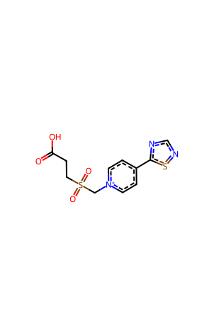 O=C(O)CCS(=O)(=O)C[n+]1ccc(-c2ncns2)cc1